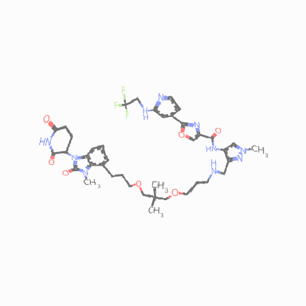 Cn1cc(NC(=O)c2coc(-c3ccnc(NCC(F)(F)F)c3)n2)c(CNCCCOCC(C)(C)COCCCc2cccc3c2n(C)c(=O)n3C2CCC(=O)NC2=O)n1